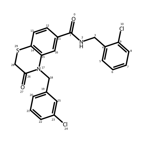 O=C(NCc1ccccc1Cl)c1ccc2c(c1)N(Cc1cccc(Cl)c1)C(=O)CS2